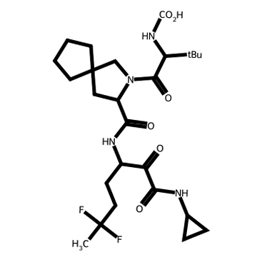 CC(F)(F)CCC(NC(=O)C1CC2(CCCC2)CN1C(=O)C(NC(=O)O)C(C)(C)C)C(=O)C(=O)NC1CC1